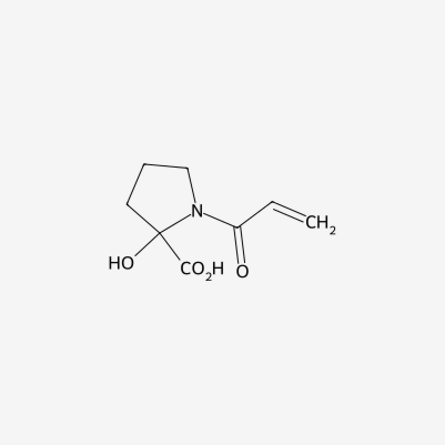 C=CC(=O)N1CCCC1(O)C(=O)O